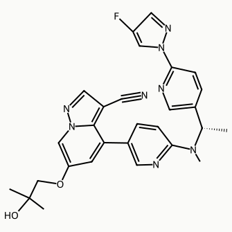 C[C@@H](c1ccc(-n2cc(F)cn2)nc1)N(C)c1ccc(-c2cc(OCC(C)(C)O)cn3ncc(C#N)c23)cn1